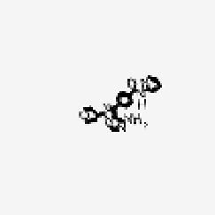 Nc1nccn2c(C3CCOCC3)nc(-c3ccc(C(=O)Nc4ccccn4)cc3)c12